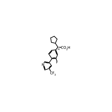 O=C(O)[C@@H](c1ccc(-c2cncc(C(F)(F)F)c2)c(F)c1)C1CCCC1